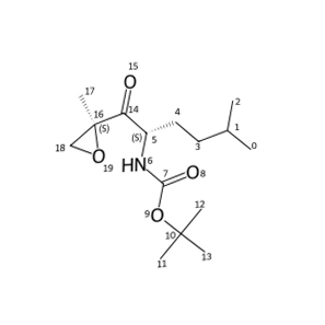 CC(C)CC[C@H](NC(=O)OC(C)(C)C)C(=O)[C@]1(C)CO1